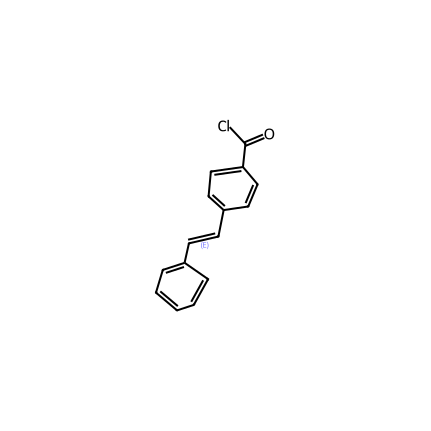 O=C(Cl)c1ccc(/C=C/c2ccccc2)cc1